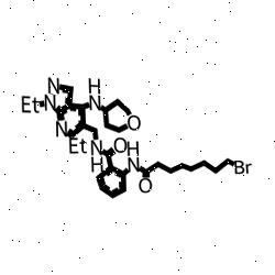 CCc1nc2c(cnn2CC)c(NC2CCOCC2)c1CNC(=O)c1ccccc1NC(=O)CCCCCCCBr